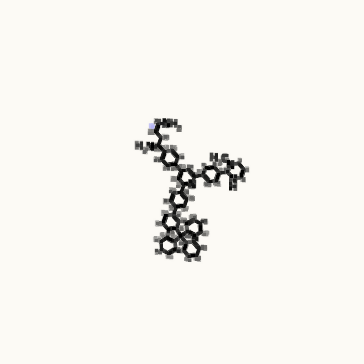 CN1CC=CNC1c1ccc(-c2cc(-c3ccc([C@H](N)C/C=C\N)cc3)cc(-c3ccc(-c4ccc5c(c4)C(c4ccccc4)(c4ccccc4)C4=C5CCC=C4)cc3)n2)cc1